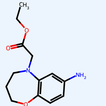 CCOC(=O)CN1CCCOc2ccc(N)cc21